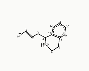 FC=CCC1NCCc2ccccc21